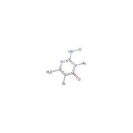 CCc1c(C)nc(NCl)n(C(C)=O)c1=O